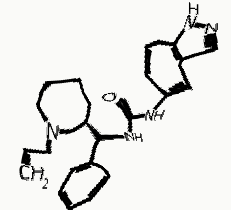 C=CCN1CCCC[C@H]1C(NC(=O)Nc1ccc2[nH]ncc2c1)c1ccccc1